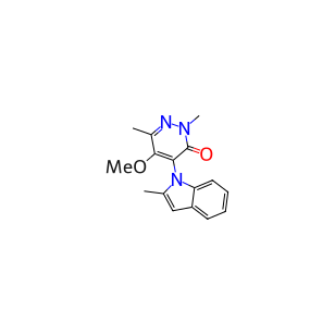 COc1c(C)nn(C)c(=O)c1-n1c(C)cc2ccccc21